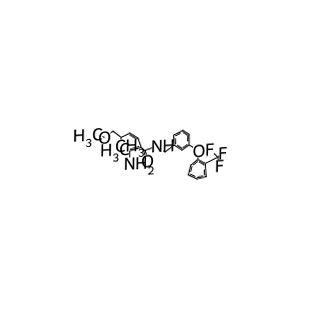 COCC(C)/C=C\C(C(=O)NCc1cccc(Oc2ccccc2C(F)(F)F)c1)=C(/C)N